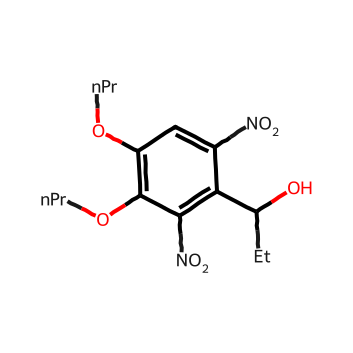 CCCOc1cc([N+](=O)[O-])c(C(O)CC)c([N+](=O)[O-])c1OCCC